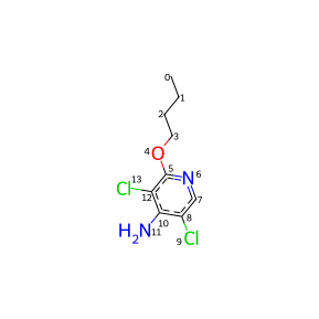 CCCCOc1ncc(Cl)c(N)c1Cl